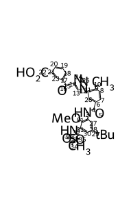 COc1c(NC(=O)c2ccc(C)c(-n3cc(C(=O)c4cccc(C(=O)O)c4)nn3)c2)cc(C(C)(C)C)cc1NS(C)(=O)=O